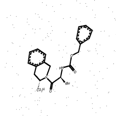 CC(C)(C)[C@H](NC(=O)OCc1ccccc1)C(=O)N1Cc2ccccc2C[C@H]1C(=O)O